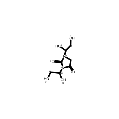 O=C1CN(C(O)CO)C(=O)N1C(O)CO